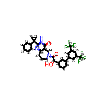 O=C([C@H](O)c1cccc(-c2cc(C(F)(F)F)cc(C(F)(F)F)c2)c1)N1CCCc2nc(C3(c4ccccc4)CC3)[nH]c(=O)c2C1